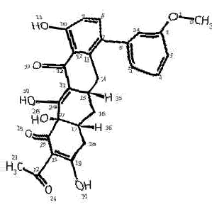 COc1cccc(-c2ccc(O)c3c2C[C@@H]2C[C@@H]4CC(O)=C(C(C)=O)C(=O)[C@]4(O)C(O)=C2C3=O)c1